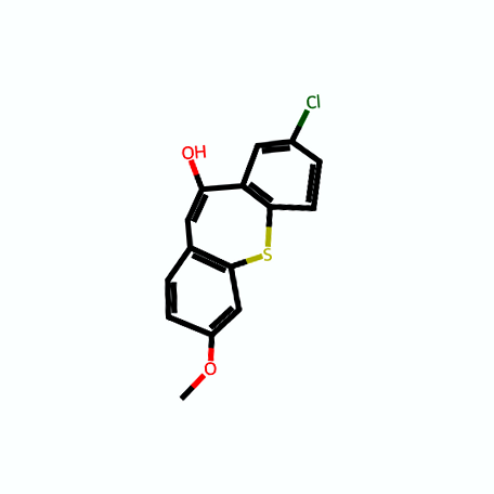 COc1ccc2c(c1)Sc1ccc(Cl)cc1C(O)=C2